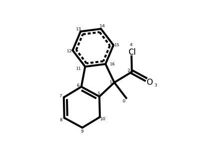 CC1(C(=O)Cl)C2=C(C=CCC2)c2ccccc21